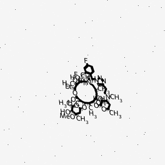 CC[C@H]1OC(=O)[C@H](C)[C@@H](O[C@H]2C[C@@](C)(OC)[C@@H](O)[C@H](C)O2)[C@H](C)[C@@H](O[C@@H]2O[C@H](C)C[C@H](N(C)CCc3cn(Cc4ccc(F)cc4C(F)(F)F)nn3)[C@H]2O)[C@](C)(O)C[C@@H](C)CN(C)[C@H](C)[C@@H](O)[C@]1(C)O